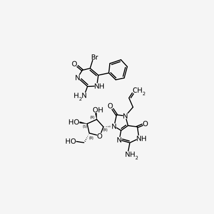 C=CCn1c(=O)n([C@@H]2O[C@H](CO)[C@@H](O)[C@H]2O)c2nc(N)[nH]c(=O)c21.Nc1nc(=O)c(Br)c(-c2ccccc2)[nH]1